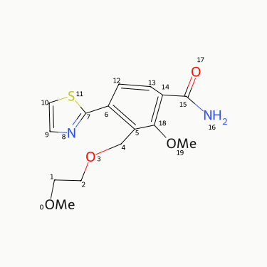 COCCOCc1c(-c2nccs2)ccc(C(N)=O)c1OC